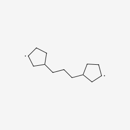 [CH]1CCC(CCCC2C[CH]CC2)C1